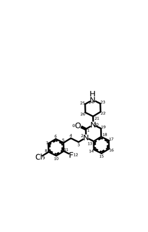 O=C1N(CCc2ccc(Cl)cc2F)c2ccccc2CN1C1CCNCC1